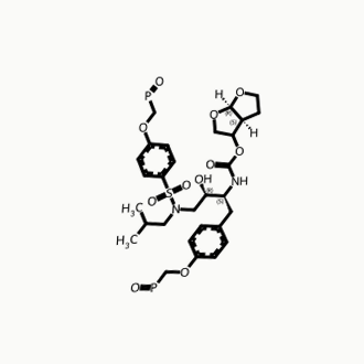 CC(C)CN(C[C@@H](O)[C@H](Cc1ccc(OCP=O)cc1)NC(=O)OC1CO[C@H]2OCC[C@@H]12)S(=O)(=O)c1ccc(OCP=O)cc1